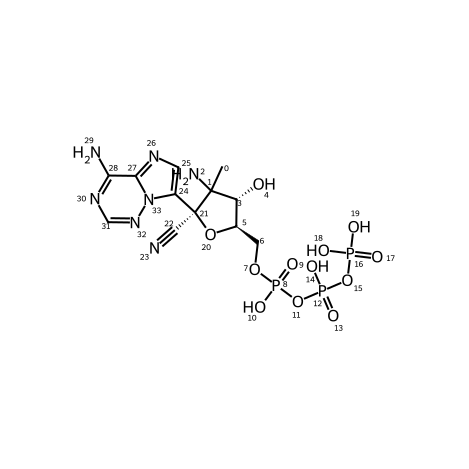 CC1(N)[C@H](O)[C@@H](COP(=O)(O)OP(=O)(O)OP(=O)(O)O)O[C@@]1(C#N)c1cnc2c(N)ncnn12